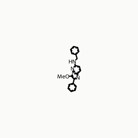 COc1c(-c2ccccc2)nc2ccc(NCc3ccccc3)nn12